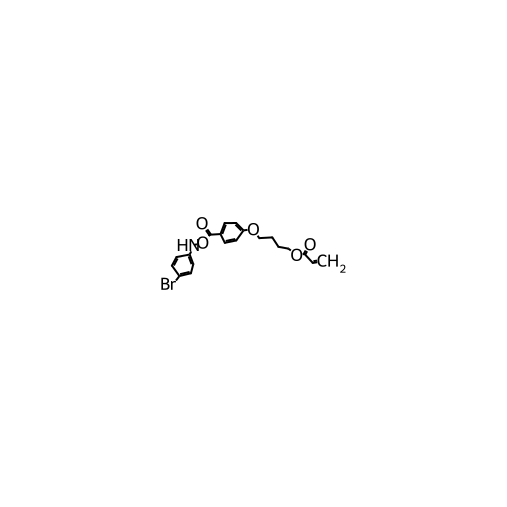 C=CC(=O)OCCCCOc1ccc(C(=O)ONc2ccc(Br)cc2)cc1